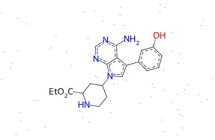 CCOC(=O)C1CC(n2cc(-c3cccc(O)c3)c3c(N)ncnc32)CCN1